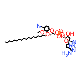 CCCCCCCCCCCCCCCCCCOC[C@H](COP(=O)(O)OC[C@H]1O[C@@](C#N)(c2ccc3c(N)ncnn23)C[C@@H]1O)Oc1ccc(C#N)c(OCC)c1